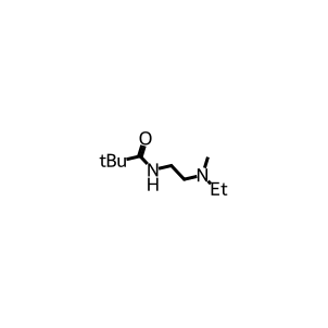 CCN(C)CCNC(=O)C(C)(C)C